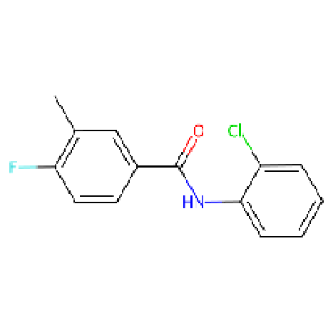 Cc1cc(C(=O)Nc2ccccc2Cl)ccc1F